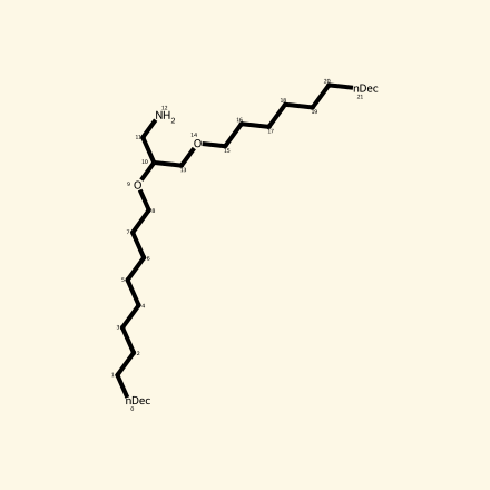 CCCCCCCCCCCCCCCCCCOC(CN)COCCCCCCCCCCCCCCCC